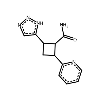 NC(=O)C1C(c2ccccn2)CC1c1cnn[nH]1